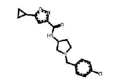 O=C(NC1CCN(Cc2ccc(Cl)cc2)C1)c1cc(C2CC2)on1